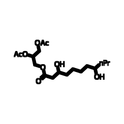 CCCC(O)CCCCC(O)CC(=O)OCC(COC(C)=O)OC(C)=O